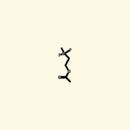 CC(=O)OCC[Si](C)(F)F